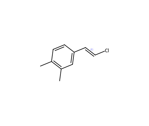 Cc1ccc(/C=C/Cl)cc1C